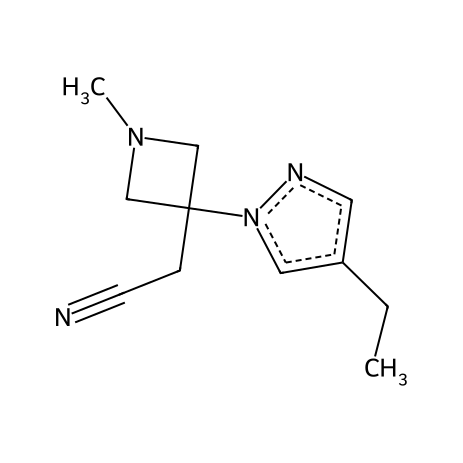 CCc1cnn(C2(CC#N)CN(C)C2)c1